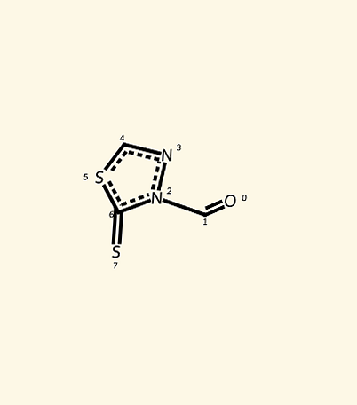 O=Cn1ncsc1=S